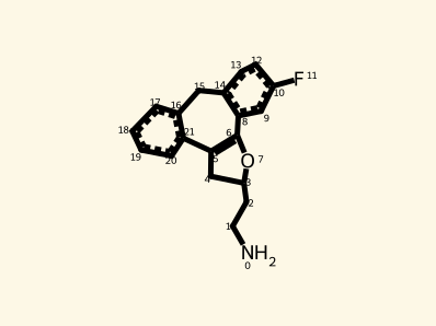 NCCC1CC2=C(O1)c1cc(F)ccc1Cc1ccccc12